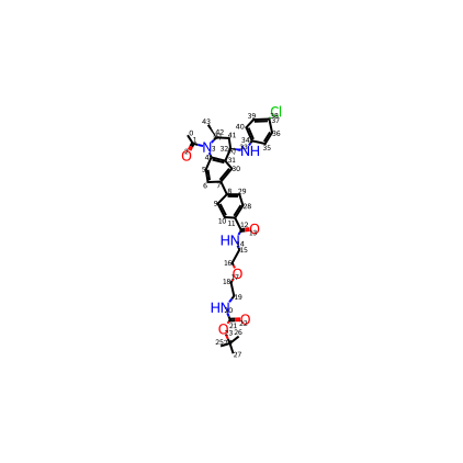 CC(=O)N1c2ccc(-c3ccc(C(=O)NCCOCCNC(=O)OC(C)(C)C)cc3)cc2[C@H](Nc2ccc(Cl)cc2)C[C@@H]1C